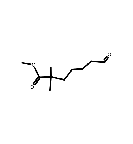 COC(=O)C(C)(C)CCCCC=O